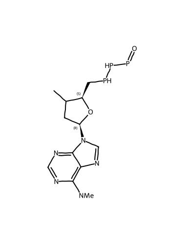 CNc1ncnc2c1ncn2[C@H]1CC(C)[C@@H](CPPP=O)O1